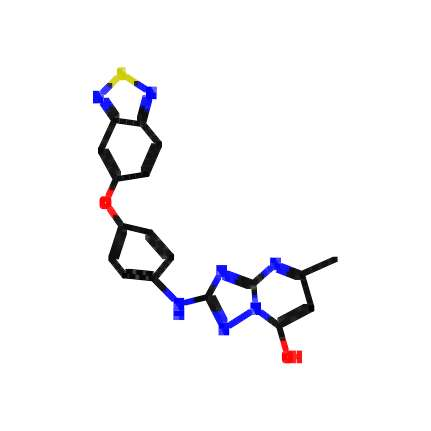 Cc1cc(O)n2nc(Nc3ccc(Oc4ccc5nsnc5c4)cc3)nc2n1